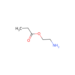 CCC(=O)OCCN